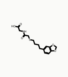 O=C(O)CNC(=O)CSCCCCc1ccc2c(c1)OCO2